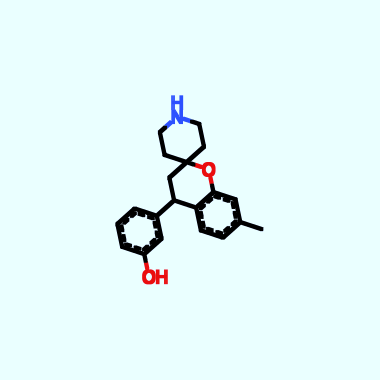 Cc1ccc2c(c1)OC1(CCNCC1)CC2c1cccc(O)c1